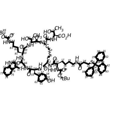 C[C@@H](O)[C@H](NC(=O)[C@@H]1CSSC[C@H](NC(=O)[C@@H](CCCCNC(=O)CCSC(c2ccccc2)(c2ccccc2)c2ccccc2)NC(=O)OC(C)(C)C)C(=O)N[C@@H](Cc2ccc(O)cc2)C(=O)N[C@H](Cc2c[nH]c3ccccc23)C(=O)N[C@@H](CCCCNC(=O)OC(C)(C)C)C(=O)N[C@@H]([C@@H](C)O)C(=O)N1)C(=O)O